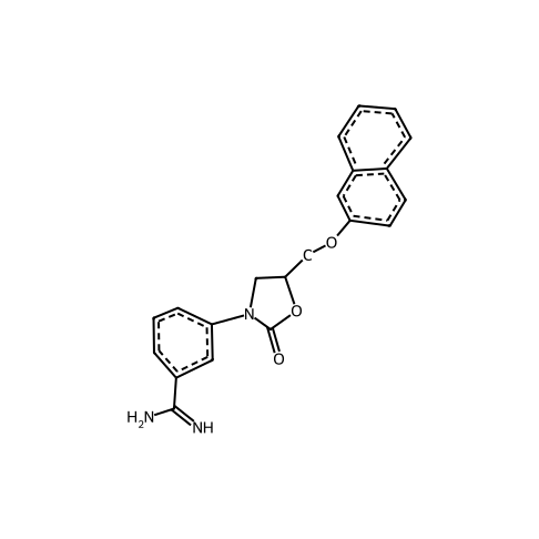 N=C(N)c1cccc(N2CC(COc3ccc4ccccc4c3)OC2=O)c1